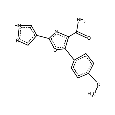 COc1ccc(-c2oc(-c3cn[nH]c3)nc2C(N)=O)cc1